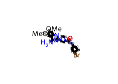 COc1cc2nc(N3CCN(C(=O)/C=C/c4ccc(Br)cc4)CC3)nc(N)c2cc1OC